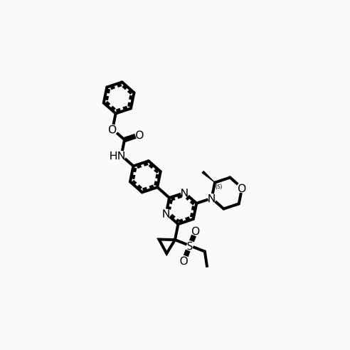 CCS(=O)(=O)C1(c2cc(N3CCOC[C@@H]3C)nc(-c3ccc(NC(=O)Oc4ccccc4)cc3)n2)CC1